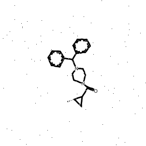 C[C@H]1CC1C(=O)N1CCN(C(c2ccccc2)c2ccccc2)CC1